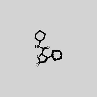 O=C1C=C(c2ccccc2)C(C(=O)NC2CCCCC2)O1